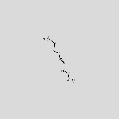 CCCCCCCCCC=CNCC(=O)O